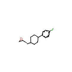 Fc1ccc(C2CCC(CC3CO3)CC2)cc1